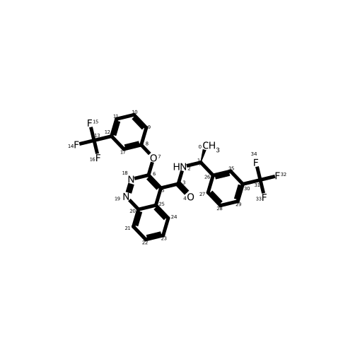 C[C@H](NC(=O)c1c(Oc2cccc(C(F)(F)F)c2)nnc2ccccc12)c1cccc(C(F)(F)F)c1